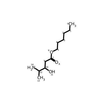 CCCCCCOC(=O)CC(O)C(C)N